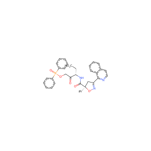 CC(C)[C@]1(C(=O)N[C@@H](CC(=O)O)C(=O)COP(=O)(c2ccccc2)c2ccccc2)CC(c2nccc3ccccc23)=NO1